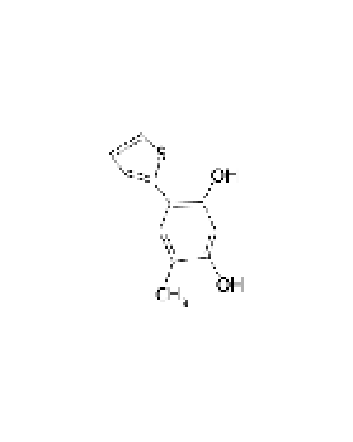 Cc1cc(-c2cccs2)c(O)cc1O